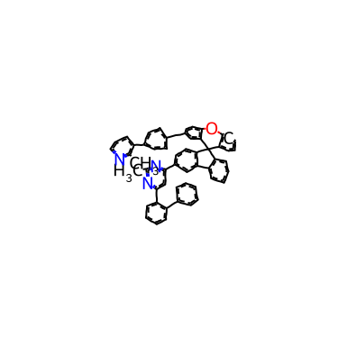 Cc1nc(-c2ccc3c(c2)-c2ccccc2C32c3ccccc3Oc3ccc(-c4ccc(-c5cccnc5C)cc4)cc32)cc(-c2ccccc2-c2ccccc2)n1